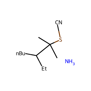 CCCCC(CC)C(C)(C)SC#N.N